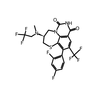 CN(CC(F)(F)F)[C@@H]1CSc2c(-c3ccc(F)cc3F)c(C(F)(F)F)cc3c(=O)[nH]c(=O)n(c23)C1